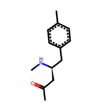 CN[C@H](CC(C)=O)Cc1ccc(C)cc1